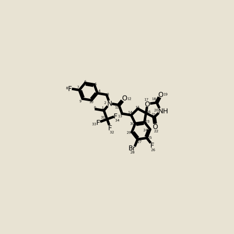 CC(N(Cc1ccc(F)cc1)C(=O)CC1CC2(OC(=O)NC2=O)c2cc(F)c(Br)cc21)C(F)(F)F